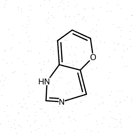 C1=COC2=CN=CNC2=C1